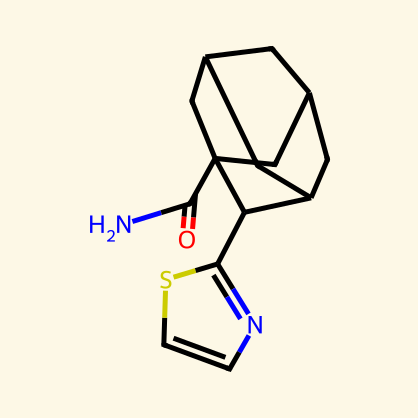 NC(=O)C12CC3CC(CC(C3)C1c1nccs1)C2